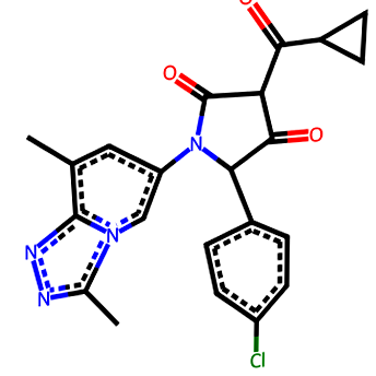 Cc1cc(N2C(=O)C(C(=O)C3CC3)C(=O)C2c2ccc(Cl)cc2)cn2c(C)nnc12